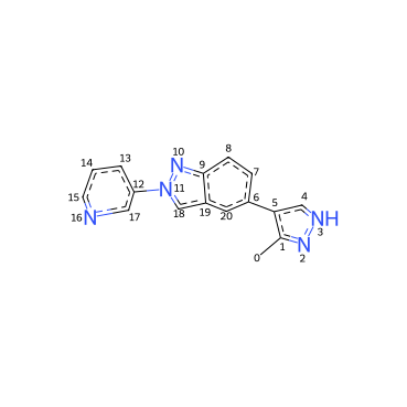 Cc1n[nH]cc1-c1ccc2nn(-c3cccnc3)cc2c1